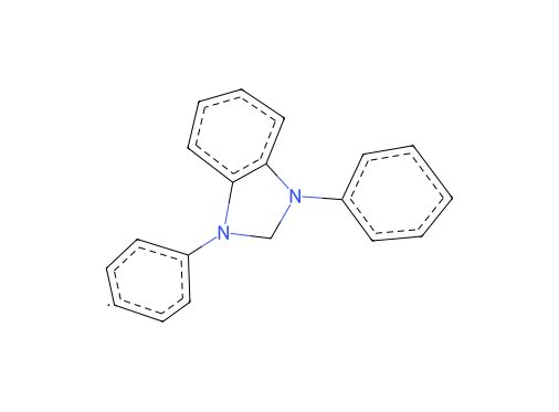 [c]1ccc(N2CN(c3ccccc3)c3ccccc32)cc1